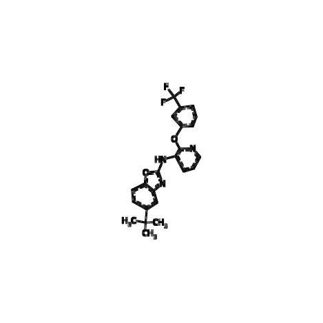 CC(C)(C)c1ccc2oc(Nc3cccnc3Oc3cccc(C(F)(F)F)c3)nc2c1